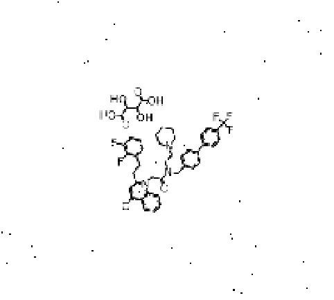 O=C(Cn1c(CCc2cccc(F)c2F)cc(=O)c2ccccc21)N(CCN1CCCCC1)Cc1ccc(-c2ccc(C(F)(F)F)cc2)cc1.O=C(O)C(O)C(O)C(=O)O